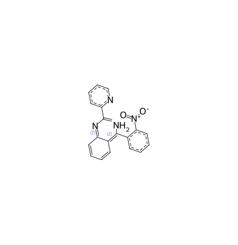 C=C(/N=C1/C=CC=C/C1=C(/N)c1ccccc1[N+](=O)[O-])c1ccccn1